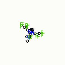 FC(F)(F)c1ccc(-c2ccc3c(c2)c2ccccc2n3-c2cc(-c3cccc(-c4ccccc4)n3)c(C(F)(F)F)cc2-n2c3ccccc3c3cc(-c4ccc(C(F)(F)F)cc4C(F)(F)F)ccc32)c(C(F)(F)F)c1